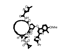 COc1ccc2c(O[C@@H]3C[C@H]4C(=O)N[C@]5(C(=O)NS(=O)(=O)C6CC6)C[C@H]5/C=C\CCCCC[C@H](NC(=O)c5cc(C)on5)C(=O)N4C3)cc(-c3nc(C(C)C)cs3)nc2c1C